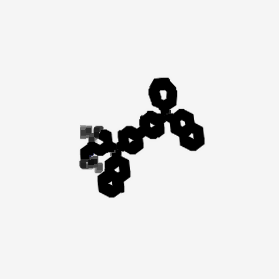 C=CC(C/C=C\C)N(c1ccc(-c2ccc(N(C3=CC4C=CC=CC4CC3)C3C=CC=CC=C3)cc2)cc1)c1ccc2ccccc2c1